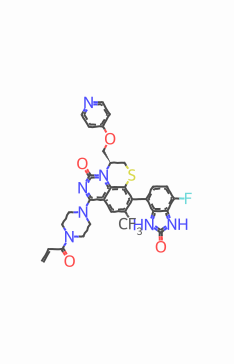 C=CC(=O)N1CCN(c2nc(=O)n3c4c(c(-c5ccc(F)c6[nH]c(=O)[nH]c56)c(C(F)(F)F)cc24)SC[C@@H]3COc2ccncc2)CC1